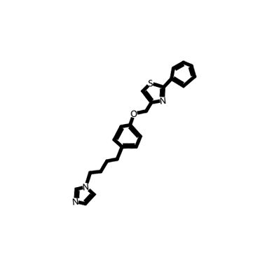 c1ccc(-c2nc(COc3ccc(CCCCn4ccnc4)cc3)cs2)cc1